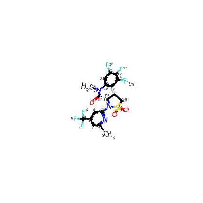 Cc1cc(C(F)(F)F)cc(N2[C@H](C(=O)N(C)c3cc(F)c(F)c(F)c3)CCS2(=O)=O)n1